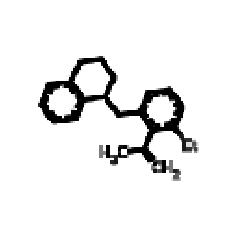 C=C(C)c1c(CC)cccc1CC1CCCc2ccccc21